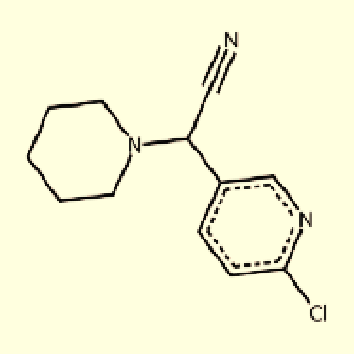 N#CC(c1ccc(Cl)nc1)N1CCCCC1